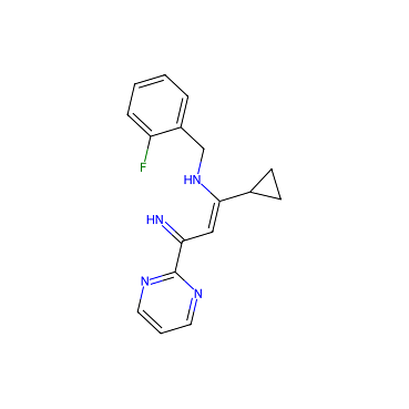 N=C(/C=C(\NCc1ccccc1F)C1CC1)c1ncccn1